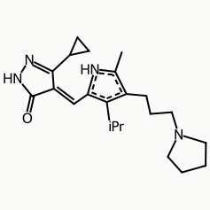 Cc1[nH]c(C=C2C(=O)NN=C2C2CC2)c(C(C)C)c1CCCN1CCCC1